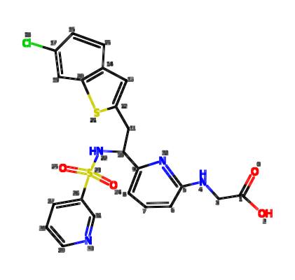 O=C(O)CNc1cccc(C(Cc2cc3ccc(Cl)cc3s2)NS(=O)(=O)c2cccnc2)n1